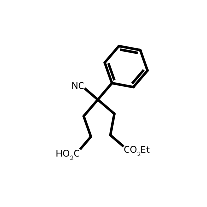 CCOC(=O)CCC(C#N)(CCC(=O)O)c1ccccc1